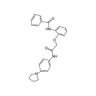 O=C(COc1ccccc1NC(=O)c1ccccc1)Nc1ccc(N2CCCC2)cc1